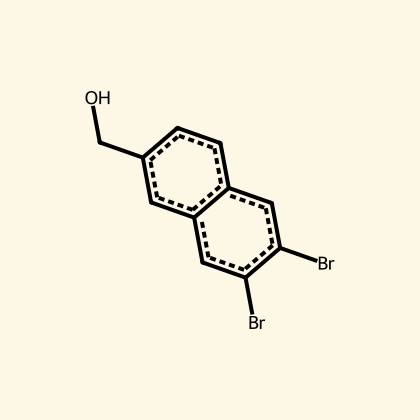 OCc1ccc2cc(Br)c(Br)cc2c1